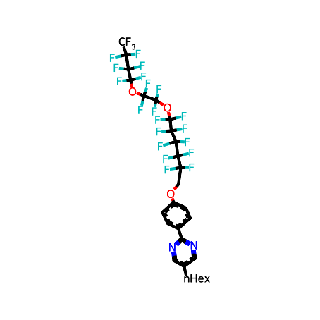 CCCCCCc1cnc(-c2ccc(OCC(F)(F)C(F)(F)C(F)(F)C(F)(F)C(F)(F)OC(F)(F)C(F)(F)OC(F)(F)C(F)(F)C(F)(F)C(F)(F)F)cc2)nc1